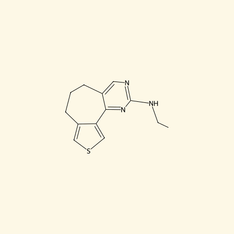 CCNc1ncc2c(n1)-c1cscc1CCC2